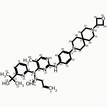 C=CCN(C=O)N(c1cccc(C(C)(C)O)n1)c1nc(Nc2ccc(N3CCC4(CC3)CCN(C3COC3)CC4)cc2)ncc1C